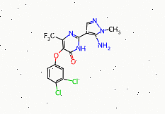 Cn1ncc(-c2nc(C(F)(F)F)c(Oc3ccc(Cl)c(Cl)c3)c(=O)[nH]2)c1N